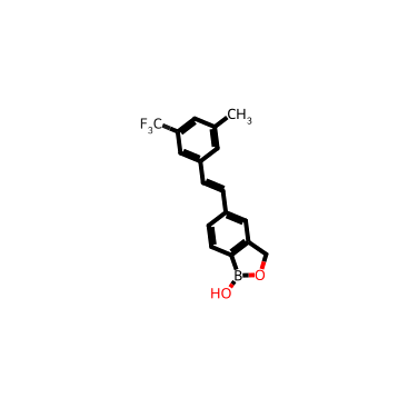 Cc1cc(/C=C/c2ccc3c(c2)COB3O)cc(C(F)(F)F)c1